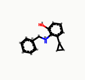 Oc1cccc(C2CC2)c1NCc1ccccc1